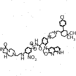 CC1(C)CCC(CN2CCN(c3ccc(C(=O)NS(=O)(=O)c4ccc(NCCN5CC[C@@H]6CNC(=O)N6CC5)c([N+](=O)[O-])c4)c(N4CCOc5nc6[nH]ccc6cc54)c3)CC2)=C(c2ccc(Cl)cc2)C1